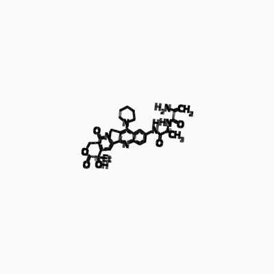 C=C(N)C(=O)N[C@@H](C)C(=O)Nc1ccc2nc3c(c(N4CCCCC4)c2c1)Cn1c-3cc2c(c1=O)COC(=O)[C@]2(O)CC